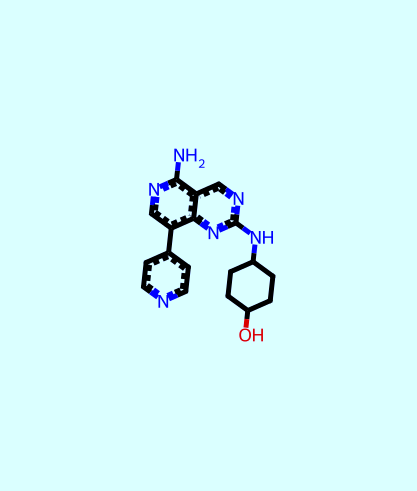 Nc1ncc(-c2ccncc2)c2nc(NC3CCC(O)CC3)ncc12